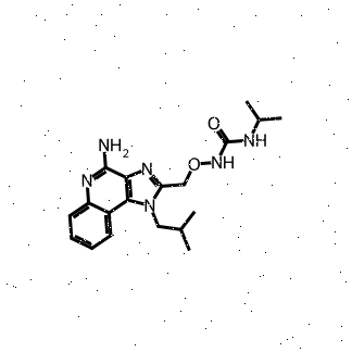 CC(C)Cn1c(CONC(=O)NC(C)C)nc2c(N)nc3ccccc3c21